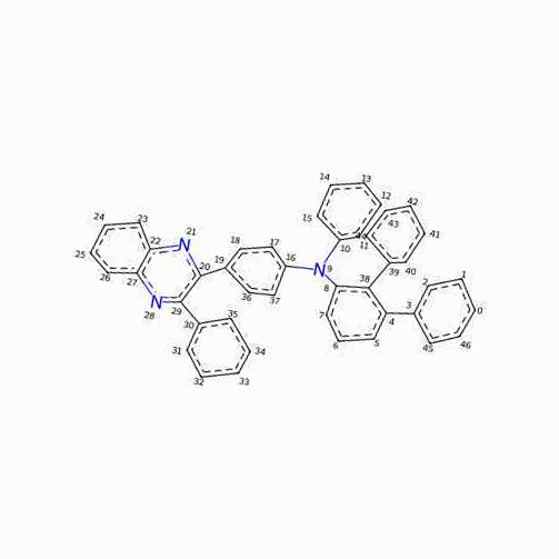 c1ccc(-c2cccc(N(c3ccccc3)c3ccc(-c4nc5ccccc5nc4-c4ccccc4)cc3)c2-c2ccccc2)cc1